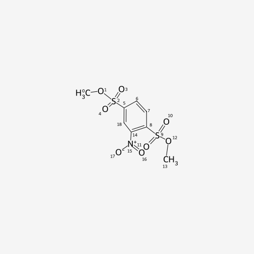 COS(=O)(=O)c1ccc(S(=O)(=O)OC)c([N+](=O)[O-])c1